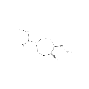 CN/C=C1/CCN(C(=O)OC(C)(C)C)CCC1=N